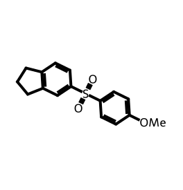 COc1ccc(S(=O)(=O)c2ccc3c(c2)CCC3)cc1